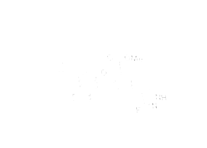 COC(=O)c1cc(-c2c[nH]nc2F)ccc1Oc1cc(C2CC2)c2ccccc2c1